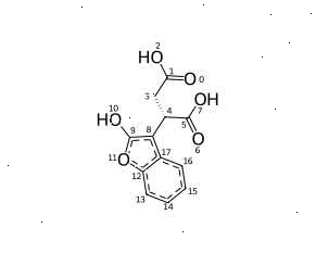 O=C(O)C[C@H](C(=O)O)c1c(O)oc2ccccc12